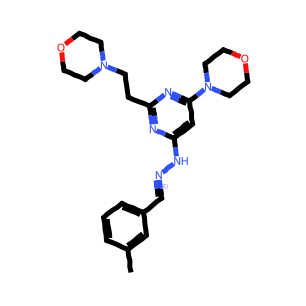 Cc1cccc(/C=N/Nc2cc(N3CCOCC3)nc(CCN3CCOCC3)n2)c1